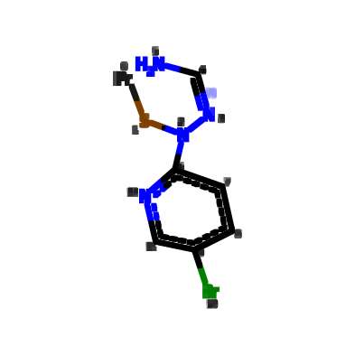 CC(C)SN(/N=C\N)c1ccc(Br)cn1